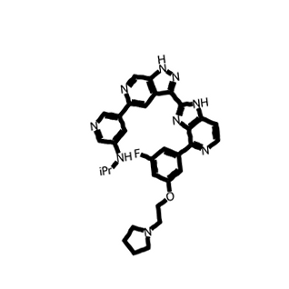 CC(C)Nc1cncc(-c2cc3c(-c4nc5c(-c6cc(F)cc(OCCN7CCCC7)c6)nccc5[nH]4)n[nH]c3cn2)c1